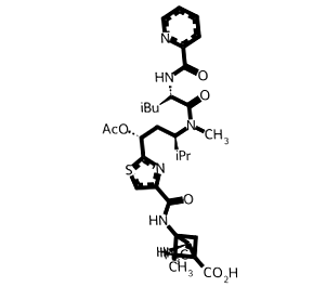 CC[C@H](C)[C@H](NC(=O)c1ccccn1)C(=O)N(C)[C@H](C[C@@H](OC(C)=O)c1nc(C(=O)NC23CC(C(=O)O)([C@@H]2C)[C@@H]3C)cs1)C(C)C